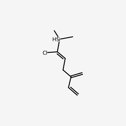 C=CC(=C)CC=C(Cl)[SiH](C)C